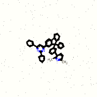 Cc1ccc(-c2cccc(C3(c4ccccc4)c4ccccc4-c4ccc(-c5cc(-c6ccccc6)nc(-c6ccccc6)n5)cc43)c2)c(C)n1